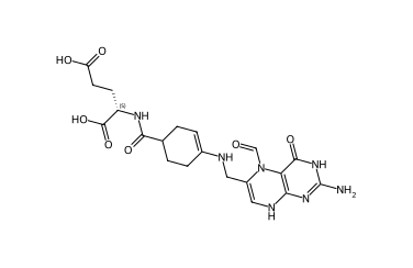 Nc1nc2c(c(=O)[nH]1)N(C=O)C(CNC1=CCC(C(=O)N[C@@H](CCC(=O)O)C(=O)O)CC1)=CN2